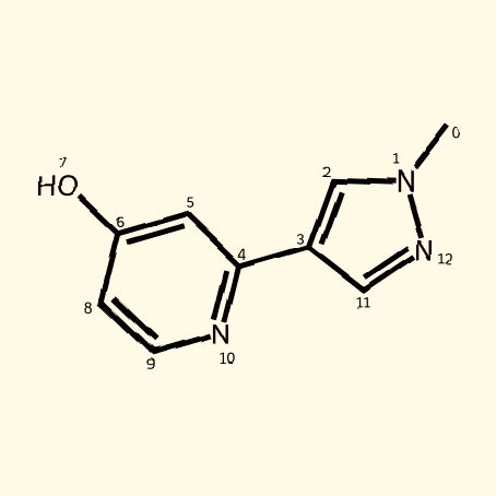 Cn1cc(-c2cc(O)ccn2)cn1